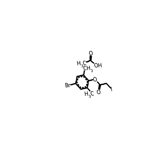 CC(=O)O.Cc1cc(Br)cc(C)c1OC(=O)CI